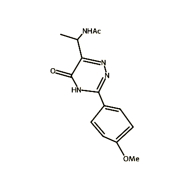 COc1ccc(-c2nnc(C(C)NC(C)=O)c(=O)[nH]2)cc1